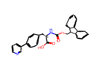 O=C(N[C@H](Cc1ccc(-c2cccnc2)cc1)C(=O)O)OCC1c2ccccc2-c2ccccc21